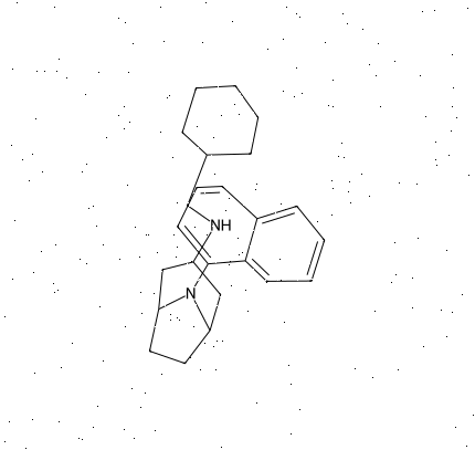 c1ccc2c(N3C4CCC3CC(NCC3CCCCC3)C4)cccc2c1